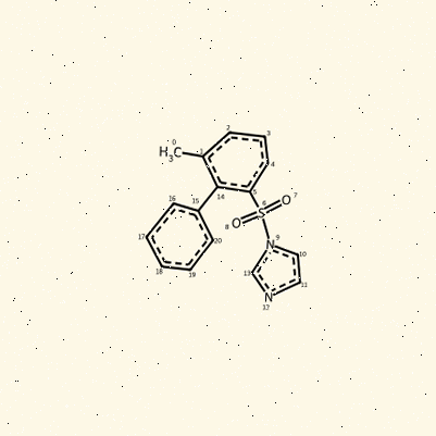 Cc1cccc(S(=O)(=O)n2ccnc2)c1-c1ccccc1